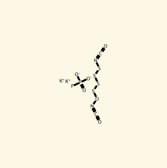 O=C=NOSSSSN=C=O.O=P([O-])([O-])F.[K+].[K+]